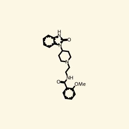 COc1ccccc1C(=O)NCCN1CCC(n2c(=O)[nH]c3ccccc32)CC1